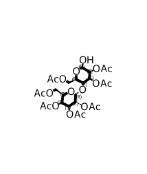 CC(=O)OC[C@H]1O[C@@H](O)[C@H](OC(C)=O)[C@@H](OC(C)=O)[C@@H]1O[C@H]1O[C@H](COC(C)=O)[C@@H](OC(C)=O)[C@H](OC(C)=O)[C@H]1OC(C)=O